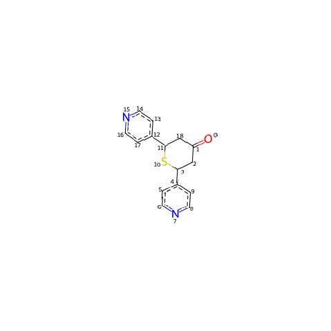 O=C1CC(c2ccncc2)SC(c2ccncc2)C1